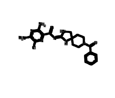 Nc1nc(N)c(C(=O)/N=C2\NCC3(CCN(C(=O)c4ccccc4)CC3)N2)nc1Cl